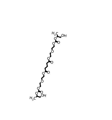 CC(CO)OC(=O)OCCOCCOC(=O)CCCC(=O)OCCOCCOC(=O)OC(C)CO